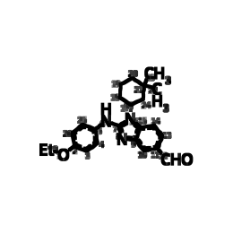 CCOc1ccc(Nc2nc3cc(C=O)ccc3n2[C@@H]2CCCC(C)(C)C2)cc1